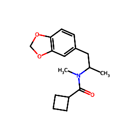 CC(Cc1ccc2c(c1)OCO2)N(C)C(=O)C1CCC1